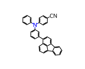 N#Cc1ccc(N(c2ccccc2)c2cccc(-c3ccc4c5c(cccc35)-c3ccccc3-4)c2)cc1